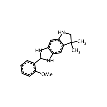 COc1ccccc1C1Nc2cc3c(cc2N1)C(C)(C)CN3